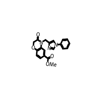 COC(=O)c1ccc2c(c1)N(Cc1cn(-c3ccccc3)cn1)C(=O)CO2